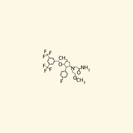 COCCN(CC(N)=O)C1CCC(O[C@@H](C)c2cc(C(F)(F)F)cc(C(F)(F)F)c2)C1c1ccc(F)cc1